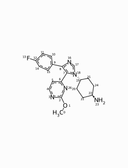 COc1nccc(-c2c(-c3ccc(F)cc3)ncn2[C@H]2CC[C@H](N)CC2)n1